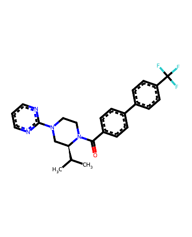 CC(C)[C@H]1CN(c2ncccn2)CCN1C(=O)c1ccc(-c2ccc(C(F)(F)F)cc2)cc1